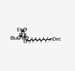 CCCCCCCCCCCCCCCCCCCCCC(=O)OC(COC(=O)CC)OC(=O)OCC(C)C